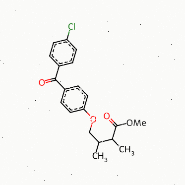 COC(=O)C(C)C(C)COc1ccc(C(=O)c2ccc(Cl)cc2)cc1